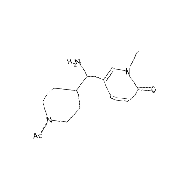 CC(=O)N1CCC(C(N)c2ccc(=O)n(C)c2)CC1